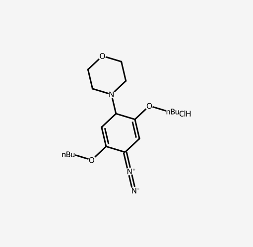 CCCCOC1=CC(N2CCOCC2)C(OCCCC)=CC1=[N+]=[N-].Cl